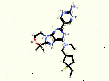 CCN(CC1CCC(F)(CC)C1)c1nc(-c2cnc(N)nc2)nc2c1nc1n2CCOC1(C)C